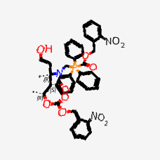 C[C@@H](OC(=O)OCc1ccccc1[N+](=O)[O-])[C@H]1C(=O)N(CP(C(=O)OCc2ccccc2[N+](=O)[O-])(c2ccccc2)(c2ccccc2)c2ccccc2)[C@]1(C)CCO